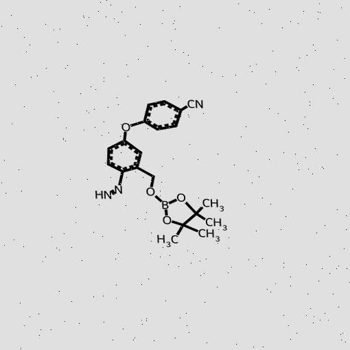 CC1(C)OB(OCc2cc(Oc3ccc(C#N)cc3)ccc2N=N)OC1(C)C